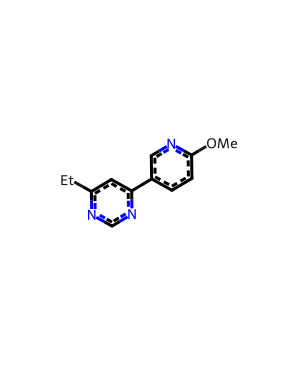 CCc1cc(-c2ccc(OC)nc2)ncn1